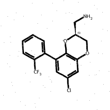 NC[C@H]1COc2cc(Cl)cc(-c3ccccc3C(F)(F)F)c2O1